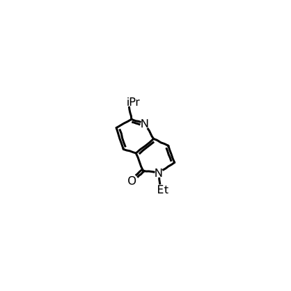 CCn1ccc2nc(C(C)C)ccc2c1=O